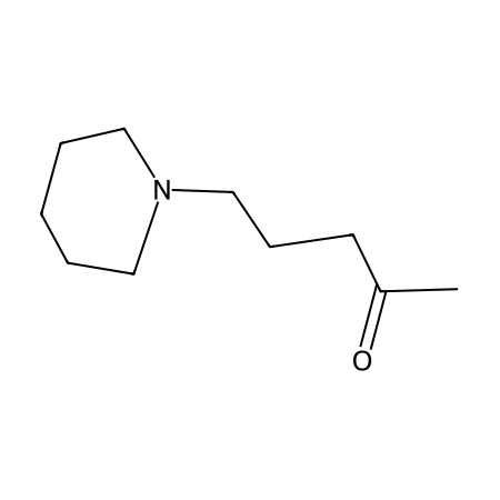 CC(=O)CCCN1CCCCC1